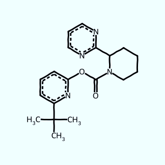 CC(C)(C)c1cccc(OC(=O)N2CCCCC2c2ncccn2)n1